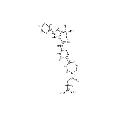 CC(C)(CC(=O)N1CCCN(c2ccc(NC(=O)c3nc(-c4ccccc4)oc3C(F)(F)F)cn2)CC1)C(=O)O